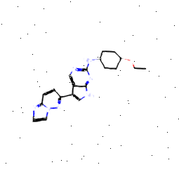 CCO[C@H]1CC[C@@H](Nc2ncc3c(-c4ccc5nccn5n4)c[nH]c3n2)CC1